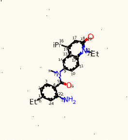 CCc1ccc(C(=O)N(C)c2ccc3c(c2)c(C(C)C)cc(=O)n3CC)c(N)c1